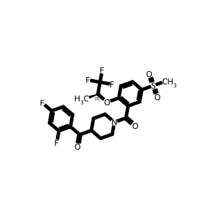 C[C@H](Oc1ccc(S(C)(=O)=O)cc1C(=O)N1CCC(C(=O)c2ccc(F)cc2F)CC1)C(F)(F)F